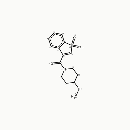 COC1CCN(C(=O)C2=CS(=O)(=O)c3ccccc32)CC1